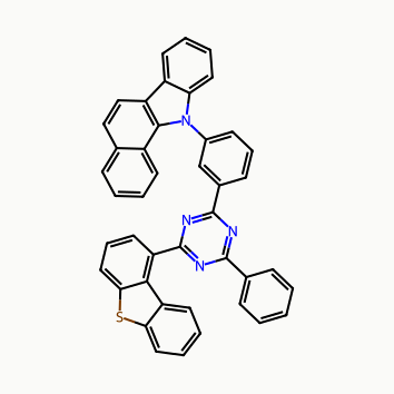 c1ccc(-c2nc(-c3cccc(-n4c5ccccc5c5ccc6ccccc6c54)c3)nc(-c3cccc4sc5ccccc5c34)n2)cc1